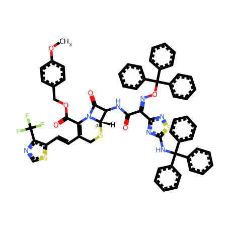 COc1ccc(COC(=O)C2=C(C=Cc3scnc3C(F)(F)F)CS[C@H]3C(NC(=O)C(=NOC(c4ccccc4)(c4ccccc4)c4ccccc4)c4nsc(NC(c5ccccc5)(c5ccccc5)c5ccccc5)n4)C(=O)N23)cc1